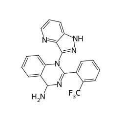 NC1N=C(c2ccccc2C(F)(F)F)N(c2n[nH]c3cccnc23)c2ccccc21